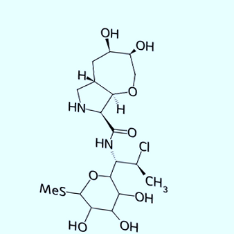 CSC1OC([C@H](NC(=O)[C@H]2NC[C@@H]3C[C@@H](O)[C@@H](O)CO[C@H]32)[C@H](C)Cl)C(O)C(O)C1O